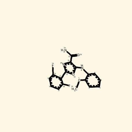 COc1ccccc1Nc1oc(-c2c(F)cccc2F)nc1C(N)=O